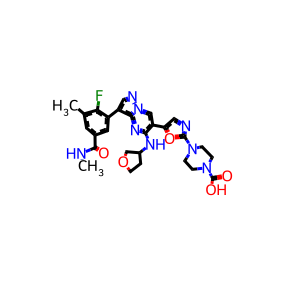 CNC(=O)c1cc(C)c(F)c(-c2cnn3cc(-c4cnc(N5CCN(C(=O)O)CC5)o4)c(NC4CCOC4)nc23)c1